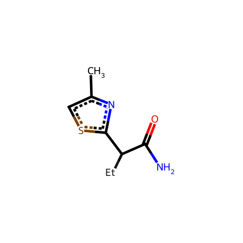 CCC(C(N)=O)c1nc(C)cs1